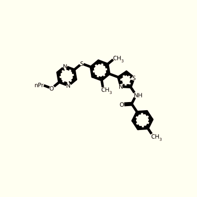 CCCOc1cnc(Sc2cc(C)c(-c3csc(NC(=O)c4ccc(C)cc4)n3)c(C)c2)cn1